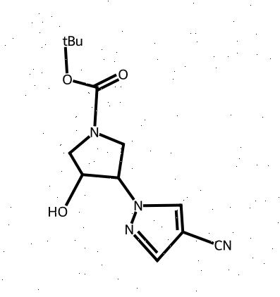 CC(C)(C)OC(=O)N1CC(O)C(n2cc(C#N)cn2)C1